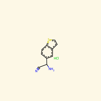 Cl.N#CC(N)c1ccc2sccc2c1